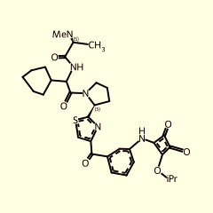 CN[C@@H](C)C(=O)NC(C(=O)N1CCC[C@H]1c1nc(C(=O)c2cccc(Nc3c(OC(C)C)c(=O)c3=O)c2)cs1)C1CCCCC1